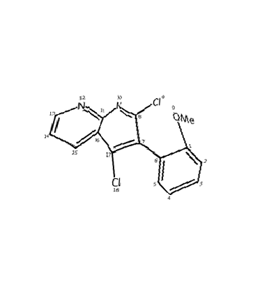 COc1ccccc1-c1c(Cl)nc2ncccc2c1Cl